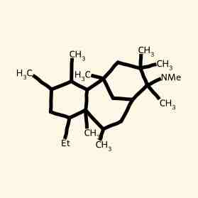 CCC1CC(C)C(C)C2C3(C)CC(CC(C)C12C)C(C)(NC)C(C)(C)C3